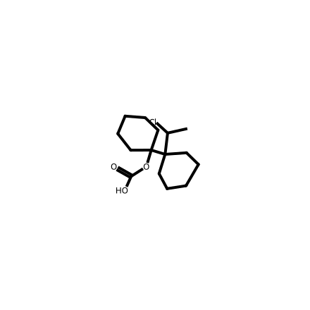 CC(Cl)C1(C2(OC(=O)O)CCCCC2)CCCCC1